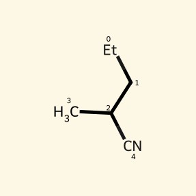 CCCC(C)C#N